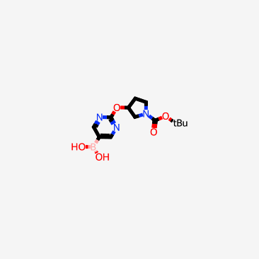 CC(C)(C)OC(=O)N1CCC(Oc2ncc(B(O)O)cn2)C1